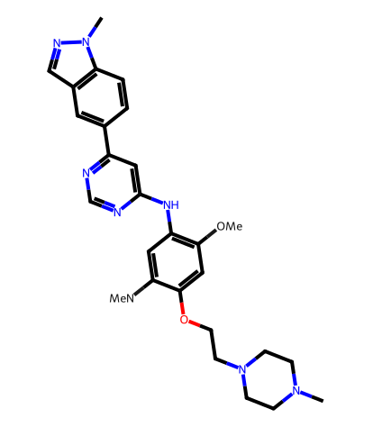 CNc1cc(Nc2cc(-c3ccc4c(cnn4C)c3)ncn2)c(OC)cc1OCCN1CCN(C)CC1